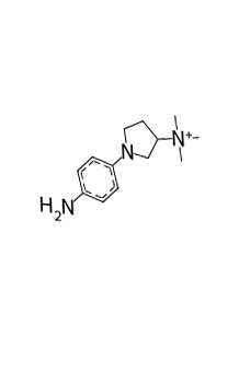 C[N+](C)(C)C1CCN(c2ccc(N)cc2)C1